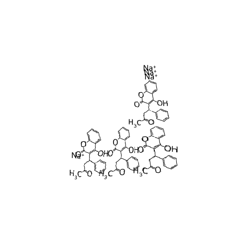 CC(=O)CC(c1ccccc1)c1c(O)c2ccccc2oc1=O.CC(=O)CC(c1ccccc1)c1c(O)c2ccccc2oc1=O.CC(=O)CC(c1ccccc1)c1c(O)c2ccccc2oc1=O.CC(=O)CC(c1ccccc1)c1c(O)c2ccccc2oc1=O.[Na+].[Na+].[Na+].[Na+]